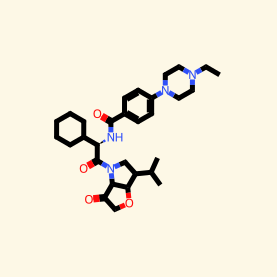 CCN1CCN(c2ccc(C(=O)N[C@H](C(=O)N3CC(C(C)C)C4OCC(=O)C43)C3CCCCC3)cc2)CC1